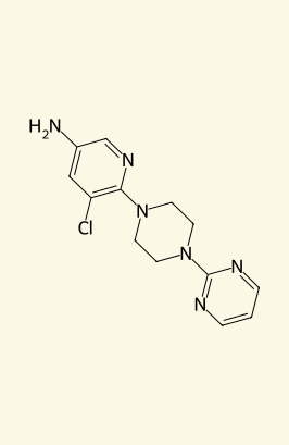 Nc1cnc(N2CCN(c3ncccn3)CC2)c(Cl)c1